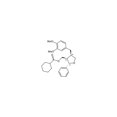 COc1ccc(C[C@H]2CO[C@H](c3ccccc3)[C@H]2COC(=O)C2CCCCC2)cc1OC